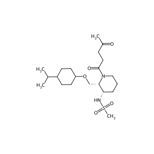 CC(=O)CCC(=O)N1CCC[C@H](NS(C)(=O)=O)[C@@H]1COC1CCC(C(C)C)CC1